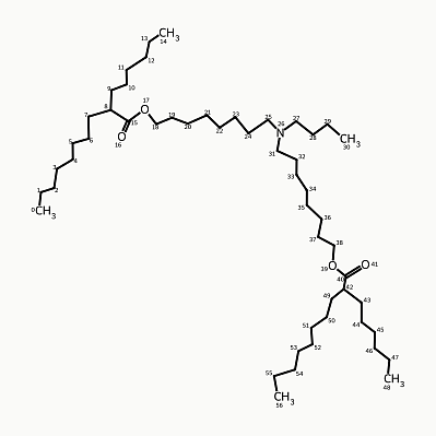 CCCCCCCCC(CCCCCC)C(=O)OCCCCCCCCN(CCCC)CCCCCCCCOC(=O)C(CCCCCC)CCCCCCCC